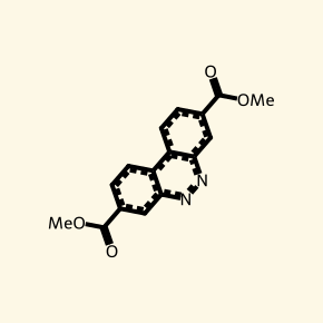 COC(=O)c1ccc2c(c1)nnc1cc(C(=O)OC)ccc12